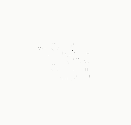 COC(=O)C(C)CNC(=O)C(Cc1ccc(OC)c(Cl)c1)NC(=O)C=CCC(OC(=O)C(O)CC(C)C)C(C)C1OC1c1ccccc1